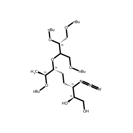 CCCCOCC(O[C@H](CC[C@H](N=[N+]=[N-])[C@H](O)CO)[C@H](C)OCCCC)[C@@H](COCCCC)OCCCC